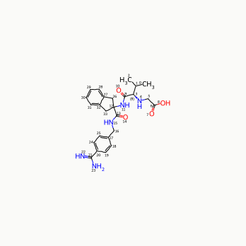 CC(C)[C@@H](NCC(=O)O)C(=O)NC1(C(=O)NCc2ccc(C(=N)N)cc2)Cc2ccccc2C1